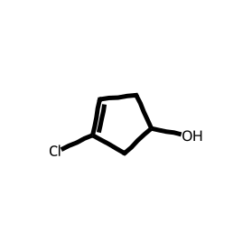 OC1CC=C(Cl)C1